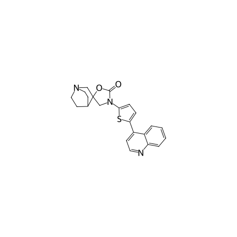 O=C1OC2(CN3CCC2CC3)CN1c1ccc(-c2ccnc3ccccc23)s1